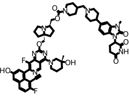 C#Cc1c(F)ccc2cc(O)cc(-c3ncc4c(N5CCC[C@@](C)(O)C5)nc(OC[C@]56CCCN5[C@@H](COC(=O)N5CCC(CN7CCC(c8ccc9c(c8)n(C)c(=O)n9C8CCC(=O)NC8=O)CC7)CC5)CC6)nc4c3F)c12